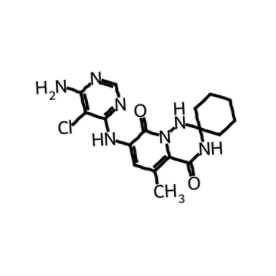 Cc1cc(Nc2ncnc(N)c2Cl)c(=O)n2c1C(=O)NC1(CCCCC1)N2